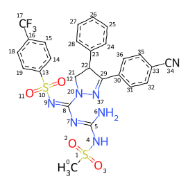 CS(=O)(=O)N/C(N)=N/C(=N/S(=O)(=O)c1ccc(C(F)(F)F)cc1)N1CC(c2ccccc2)C(c2ccc(C#N)cc2)=N1